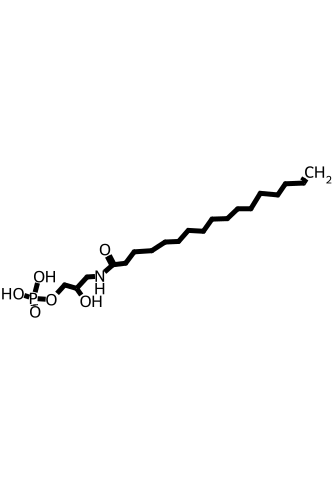 C=CCCCCCCCCCCCCCCC(=O)NCC(O)COP(=O)(O)O